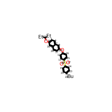 CCC(CC)Oc1ccc2cc(Oc3ccc(S(=O)(=O)c4ccc(C(C)CC)cc4)cc3)ccc2c1